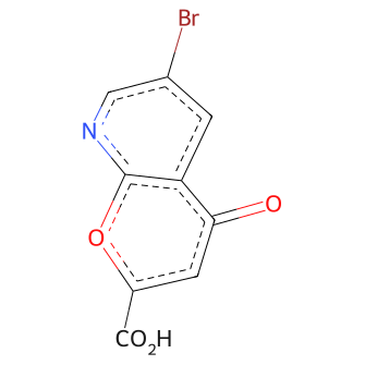 O=C(O)c1cc(=O)c2cc(Br)cnc2o1